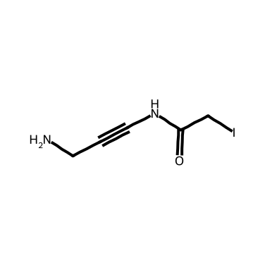 NCC#CNC(=O)CI